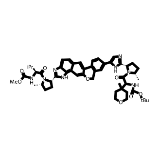 COC(=O)N[C@H](C(=O)N1[C@@H](C)CC[C@H]1c1nc2ccc3cc4c(cc3c2[nH]1)OCc1cc(-c2cnc([C@@H]3CC[C@H](C)N3C(=O)C(NC(=O)OC(C)(C)C)C3(C)CCOCC3)[nH]2)ccc1-4)C(C)C